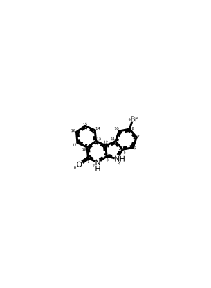 O=c1[nH]c2[nH]c3ccc(Br)cc3c2c2ccccc12